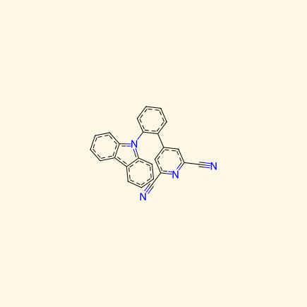 N#Cc1cc(-c2ccccc2-n2c3ccccc3c3ccccc32)cc(C#N)n1